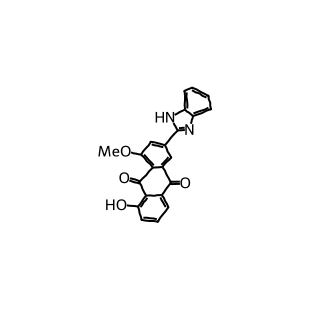 COc1cc(-c2nc3ccccc3[nH]2)cc2c1C(=O)c1c(O)cccc1C2=O